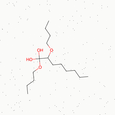 CCCCCCC(OCCCC)C(O)(O)OCCCC